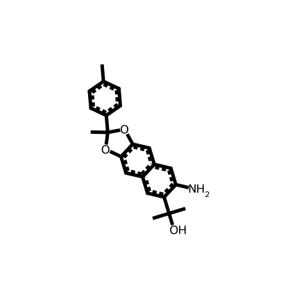 Cc1ccc(C2(C)Oc3cc4cc(N)c(C(C)(C)O)cc4cc3O2)cc1